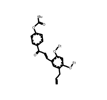 C=CCc1cc(C=CC(=O)c2ccc(OC(=O)C(C)(C)C)cc2)c(OCC)cc1OCC